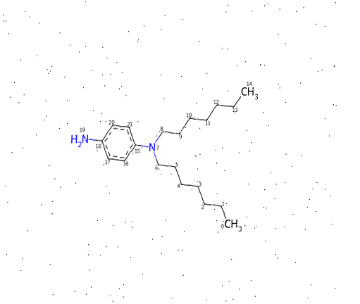 CCCCCCCN(CCCCCCC)c1ccc(N)cc1